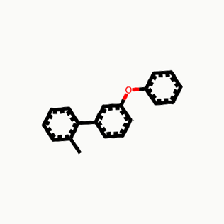 Cc1ccccc1-c1cc[c]c(Oc2ccccc2)c1